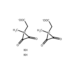 C[N+]1(CC(=O)[O-])C(=O)C1=O.C[N+]1(CC(=O)[O-])C(=O)C1=O.[KH].[KH]